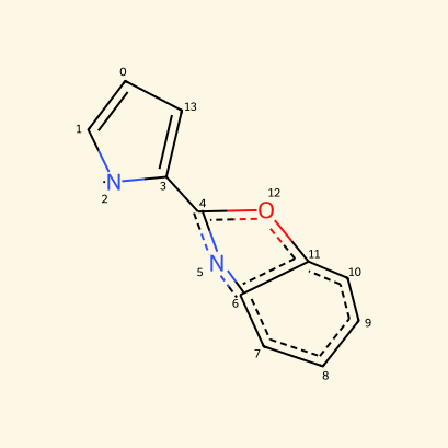 C1=C[N]C(c2nc3ccccc3o2)=C1